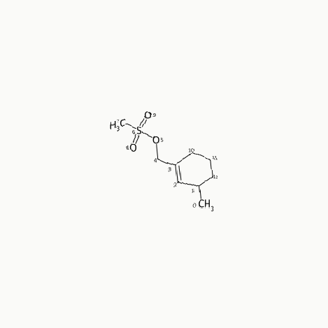 CC1C=C(COS(C)(=O)=O)CCC1